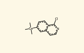 [CH3][Ge]([CH3])([CH3])[c]1ccc2c(Cl)nccc2c1